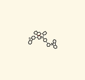 c1cc(-c2ccc(N(c3ccc(-c4ccc5sc6ccccc6c5c4)cc3)c3ccccc3-c3ccc4ccccc4c3)cc2)cc(-n2c3ccccc3c3ccccc32)c1